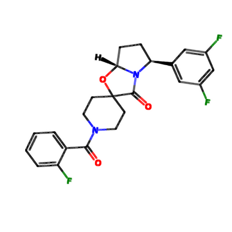 O=C(c1ccccc1F)N1CCC2(CC1)O[C@@H]1CC[C@@H](c3cc(F)cc(F)c3)N1C2=O